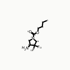 CCCCOC(=O)N1CC(N)C(F)(F)C1